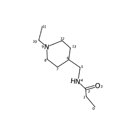 CCC(=O)NCC1CCN(CC)CC1